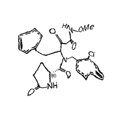 CONC(=O)C(=O)C(Cc1ccccc1)N(Cc1ccccc1Cl)C(=O)[C@H]1CCC(=O)N1